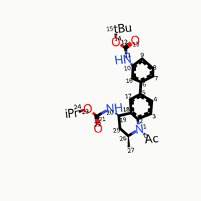 CC(=O)N1c2ccc(-c3cccc(NC(=O)OC(C)(C)C)c3)cc2[C@H](NC(=O)OC(C)C)C[C@@H]1C